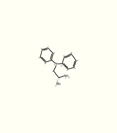 CC(C)(C)[C@@H](N)CP(c1ccccc1)c1ccccc1